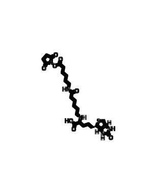 O=C(CCCCCNC(CCC[C@@H]1SC[C@@H]2NC(=O)N[C@@H]21)C(=O)O)NCCCCCC(=O)ON1C(=O)CCC1=O